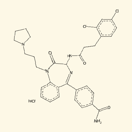 Cl.NC(=O)c1ccc(C2=NC(NC(=O)CCc3ccc(Cl)cc3Cl)C(=O)N(CCCN3CCCC3)c3ccccc32)cc1